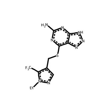 CCn1ncc(CSc2nc(N)nc3[nH]nnc23)c1C(F)(F)F